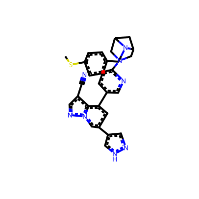 CSc1ccc(CN2C3CC2CN(c2ccc(-c4cc(-c5cn[nH]c5)cn5ncc(C#N)c45)cn2)C3)cc1